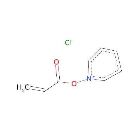 C=CC(=O)O[n+]1ccccc1.[Cl-]